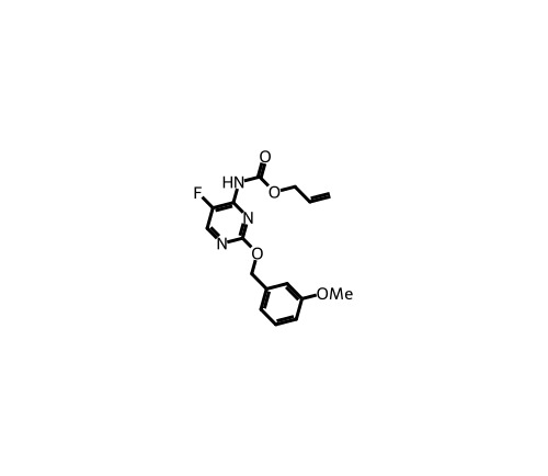 C=CCOC(=O)Nc1nc(OCc2cccc(OC)c2)ncc1F